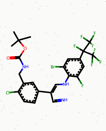 CC(C)(C)OC(=O)NCc1cc(/C(C=N)=C/Nc2c(F)cc(C(F)(C(F)(F)F)C(F)(F)F)cc2Br)ccc1Cl